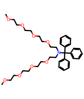 COCCOCCOCCOCCN(CCOCCOCCOCCOC)C(c1ccccc1)(c1ccccc1)c1ccccc1